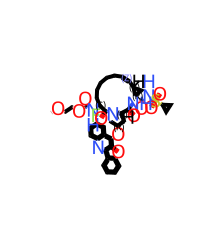 COCCOC(=O)N[C@H]1CCCCC/C=C\[C@@H]2C[C@@]2(C(=O)NS(=O)(=O)C2CC2)NC(=O)[C@@H]2C[C@@H](Oc3c4cc(F)ccc4nc4c3oc3ccccc34)CN2C1=O